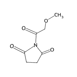 COCC(=O)N1C(=O)CCC1=O